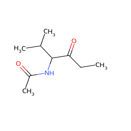 CCC(=O)C(NC(C)=O)C(C)C